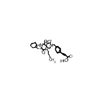 CCCCN1C(=O)[C@H](CC2CCCCC2)NC(=O)C12CCN(Cc1ccc(C#CC(=O)O)cc1)CC2.Cl